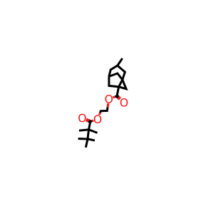 CC1CC2CC3(C1)CC3(C(=O)OCCOC(=O)C(C)(C)C(C)(C)C)C2